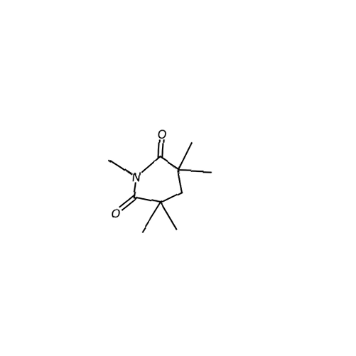 CN1C(=O)C(C)(C)CC(C)(C)C1=O